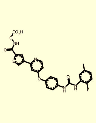 Cc1ccc(F)c(NC(=O)Nc2ccc(Oc3ccnc(-c4csc(C(=O)NOC(=O)O)c4)c3)cc2)c1